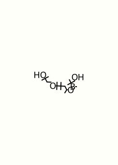 CB(OC(C)CC(C)(C)C(C)(C)OCCC(C)(C)O)C(C)(C)CO